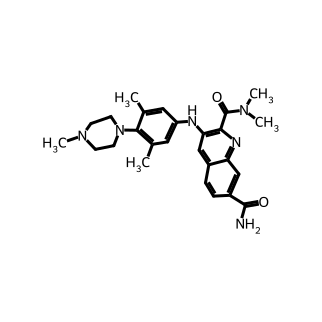 Cc1cc(Nc2cc3ccc(C(N)=O)cc3nc2C(=O)N(C)C)cc(C)c1N1CCN(C)CC1